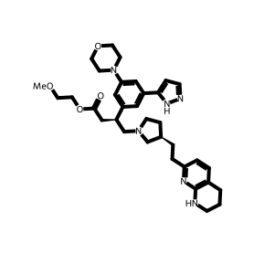 COCCOC(=O)C[C@H](CN1CC[C@@H](CCc2ccc3c(n2)NCCC3)C1)c1cc(-c2ccn[nH]2)cc(N2CCOCC2)c1